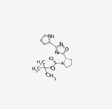 CC(C)(C)OC(=O)N1CCCC1c1nc(-c2ccc[nH]2)no1